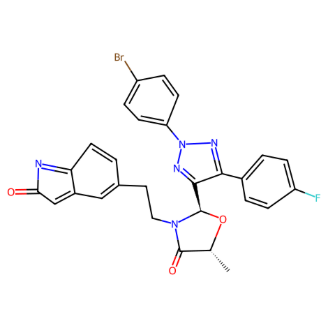 C[C@H]1O[C@H](c2nn(-c3ccc(Br)cc3)nc2-c2ccc(F)cc2)N(CCc2ccc3c(c2)=CC(=O)N=3)C1=O